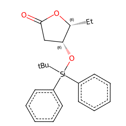 CC[C@H]1OC(=O)C[C@H]1O[Si](c1ccccc1)(c1ccccc1)C(C)(C)C